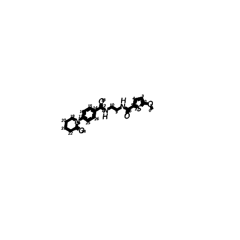 COc1ccc(C(=O)NCCNC(=O)c2ccc(N3CCCCC3=O)cc2)s1